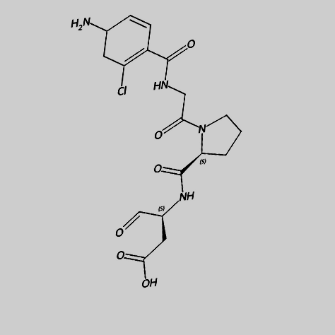 NC1C=CC(C(=O)NCC(=O)N2CCC[C@H]2C(=O)N[C@H](C=O)CC(=O)O)=C(Cl)C1